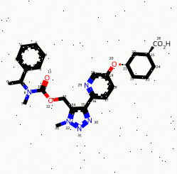 CC(c1ccccc1)N(C)C(=O)OCc1c(-c2ccc(O[C@H]3CCC[C@H](C(=O)O)C3)cn2)nnn1C